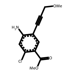 COCC#Cc1cc(C(=O)OC)c(Cl)cc1N